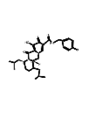 CC(C)CC1CC[C@@H](CC(C)C)N2C(=O)c3c(O)c(=O)c(C(=O)NCc4ccc(F)cc4)cn3C[C@H]12